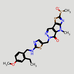 CCc1cc(OC)ccc1CNc1ncc(Cn2ncc3c4sc([S+](C)[O-])nc4n(C)c3c2=O)s1